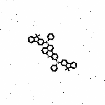 CC1(C)c2ccccc2-c2ccc(N(c3ccccc3)c3ccc4c(c3)Sc3cccc5c(N(c6ccccc6)c6ccc7c(c6)C(C)(C)c6ccccc6-7)ccc-4c35)cc21